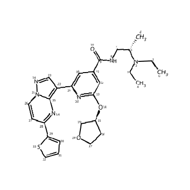 CCN(CC)[C@@H](C)CNC(=O)c1cc(O[C@H]2CCOC2)nc(-c2cnn3ccc(-c4cccs4)nc23)c1